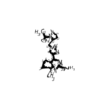 Cc1cccc2c(-c3cn(Cc4ccnn4C(C)C)nn3)nc(N)nc12